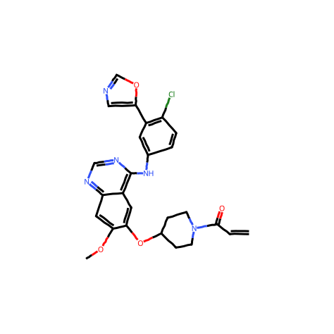 C=CC(=O)N1CCC(Oc2cc3c(Nc4ccc(Cl)c(-c5cnco5)c4)ncnc3cc2OC)CC1